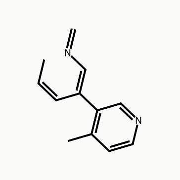 C=N/C=C(\C=C/C)c1cnccc1C